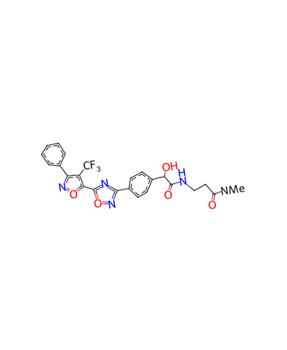 CNC(=O)CCNC(=O)C(O)c1ccc(-c2noc(-c3onc(-c4ccccc4)c3C(F)(F)F)n2)cc1